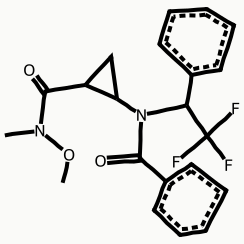 CON(C)C(=O)C1CC1N(C(=O)c1ccccc1)C(c1ccccc1)C(F)(F)F